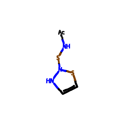 CC(=O)NSN1NC=CS1